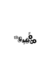 CC(C)(C)OC(=O)N1CC(F)(C2CN=C(N3CCc4ccccc4[C@@H]3c3ccc(F)cc3)O2)C1